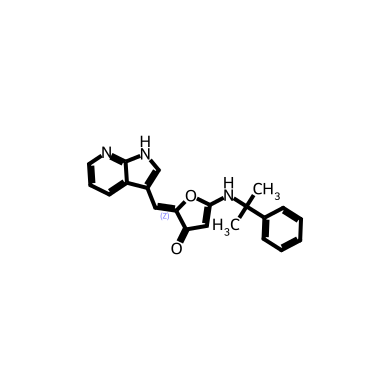 CC(C)(NC1=CC(=O)/C(=C/c2c[nH]c3ncccc23)O1)c1ccccc1